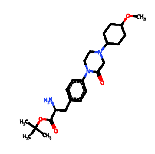 COC1CCC(N2CCN(c3ccc(C[C@H](N)C(=O)OC(C)(C)C)cc3)C(=O)C2)CC1